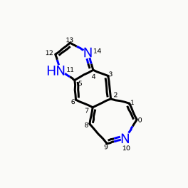 C1=Cc2cc3c(cc2=CC=N1)NC=CN=3